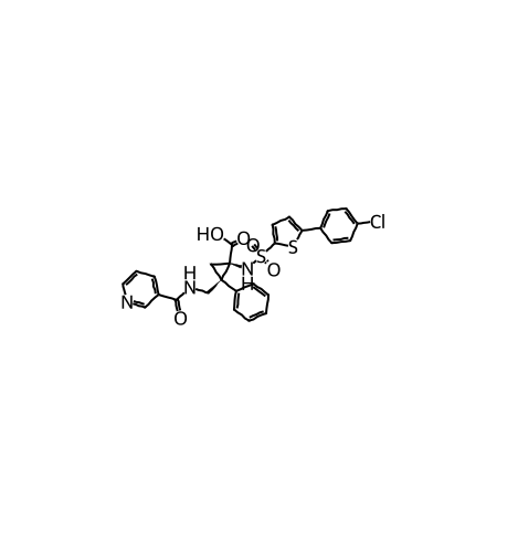 O=C(NC[C@@]1(c2ccccc2)C[C@]1(NS(=O)(=O)c1ccc(-c2ccc(Cl)cc2)s1)C(=O)O)c1cccnc1